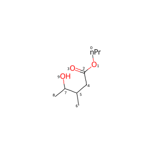 CCCOC(=O)CC(C)C(C)O